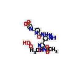 COc1ncc(-c2cc(NC(=O)c3cccc(CN4CCS(=O)(=O)CC4)n3)c3cn[nH]c3c2)cc1NS(C)(=O)=O.O=CO